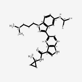 CN(C)CCCn1nc(-c2cnc3[nH]cc(C(=O)NC4(C)CC4)c3n2)c2cc(OC(F)F)ccc21